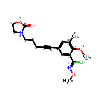 CO/N=C(\Cl)c1cc(C#CCCCN2CCOC2=O)cc(C)c1OC